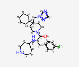 O=C([C@@H](Cc1ccc(Cl)cc1)NC1CCCNCC1)N1CCC(Cn2cncn2)(C2CCCCC2)CC1